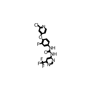 O=C(Nc1ccc(Oc2ccnc(Cl)c2)c(F)c1)Nc1cc(C(F)(F)F)ncn1